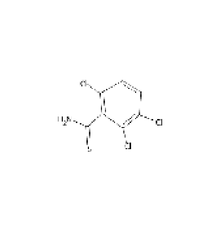 NC(=S)c1c(Cl)ccc(Cl)c1Cl